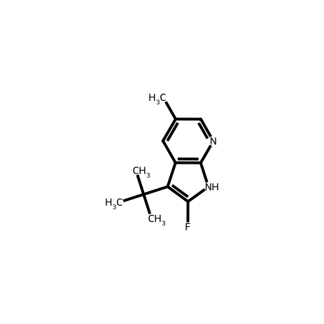 Cc1cnc2[nH]c(F)c(C(C)(C)C)c2c1